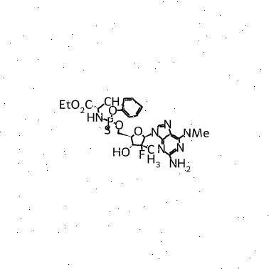 CCOC(=O)[C@H](C)NP(=S)(OC[C@H]1O[C@@H](n2cnc3c(NC)nc(N)nc32)[C@](C)(F)[C@@H]1O)Oc1ccccc1